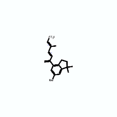 C=C(/C=C/C(C)=C/C(=O)O)c1cc(C(C)(C)C)cc2c1CCC2(C)C